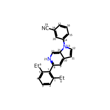 CCc1cccc(CC)c1-c1cc2ccn(-c3cccc(C#N)c3)c2cn1